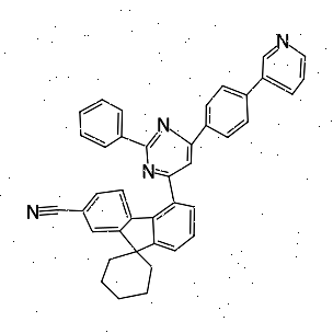 N#Cc1ccc2c(c1)C1(CCCCC1)c1cccc(-c3cc(-c4ccc(-c5cccnc5)cc4)nc(-c4ccccc4)n3)c1-2